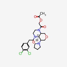 CC(=O)OCC(=O)N1CCN(C(=O)Cc2ccc(Cl)c(Cl)c2)[C@@H]2C(N3CCCC3)COCC21